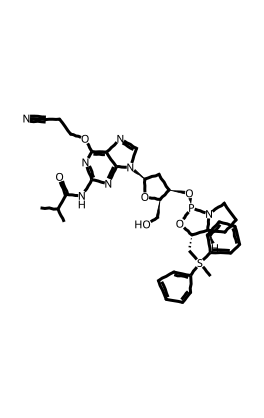 CC(C)C(=O)Nc1nc(OCCC#N)c2ncn([C@H]3C[C@@H](O[P@]4O[C@@H](CS(C)(c5ccccc5)c5ccccc5)[C@H]5CCCN54)[C@@H](CO)O3)c2n1